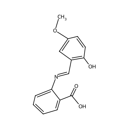 COc1ccc(O)c(/C=N/c2ccccc2C(=O)O)c1